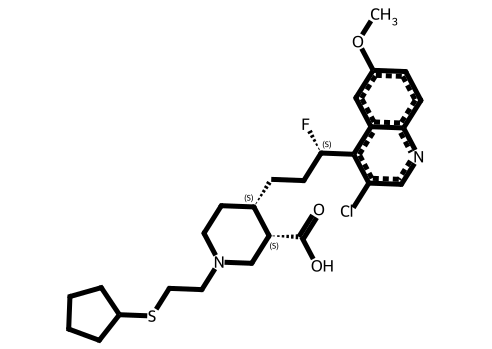 COc1ccc2ncc(Cl)c([C@@H](F)CC[C@H]3CCN(CCSC4CCCC4)C[C@H]3C(=O)O)c2c1